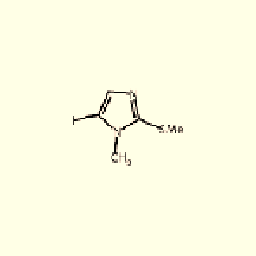 CSc1ncc(I)n1C